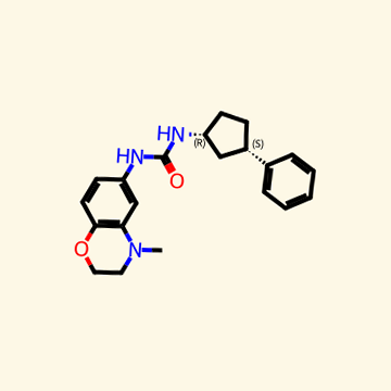 CN1CCOc2ccc(NC(=O)N[C@@H]3CC[C@H](c4ccccc4)C3)cc21